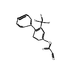 O=CC(=O)Oc1ccc(-c2ccccc2)c(C(F)(F)F)c1